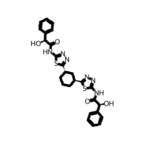 O=C(Nc1nnc([C@H]2CCC[C@H](c3nnc(NC(=O)[C@@H](O)c4ccccc4)s3)C2)s1)[C@@H](O)c1ccccc1